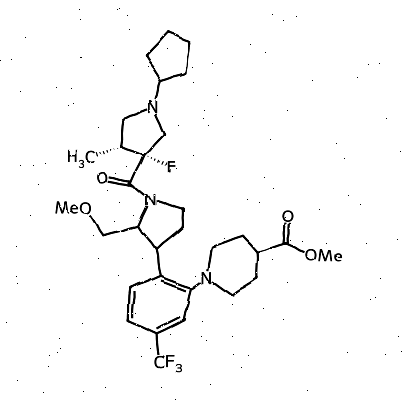 COCC1C(c2ccc(C(F)(F)F)cc2N2CCC(C(=O)OC)CC2)CCN1C(=O)[C@]1(F)CN(C2CCCC2)C[C@H]1C